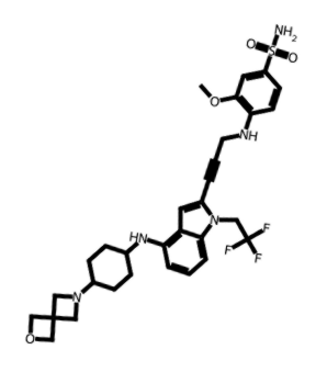 COc1cc(S(N)(=O)=O)ccc1NCC#Cc1cc2c(NC3CCC(N4CC5(COC5)C4)CC3)cccc2n1CC(F)(F)F